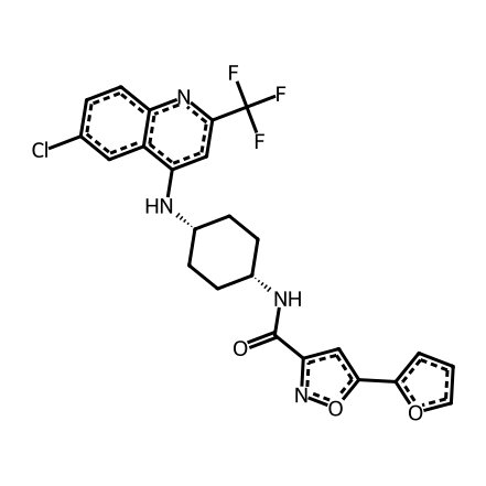 O=C(N[C@H]1CC[C@@H](Nc2cc(C(F)(F)F)nc3ccc(Cl)cc23)CC1)c1cc(-c2ccco2)on1